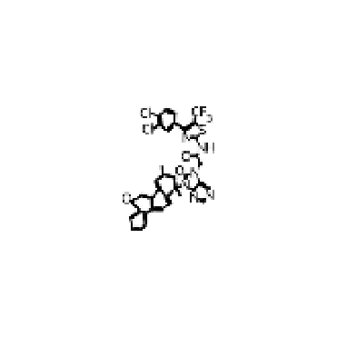 CC1C=c2c(ccc3c2=CC(=O)c2ccccc2-3)C(C)(N2CN(CC(=O)Nc3nc(-c4ccc(Cl)c(Cl)c4)c(C(F)(F)F)s3)c3cncnc32)C1=O